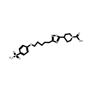 CS(=O)(=O)c1ccc(OCCCCCc2noc(C3CCN(C(=O)O)CC3)n2)cc1